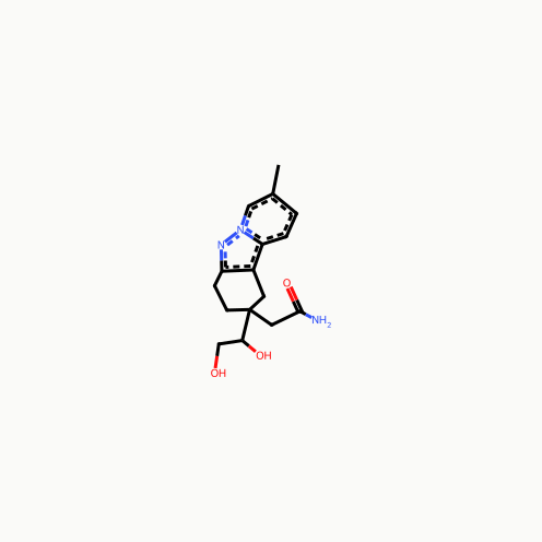 Cc1ccc2c3c(nn2c1)CCC(CC(N)=O)(C(O)CO)C3